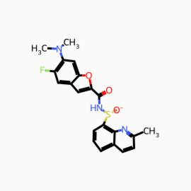 Cc1ccc2cccc([S+]([O-])NC(=O)c3cc4cc(F)c(N(C)C)cc4o3)c2n1